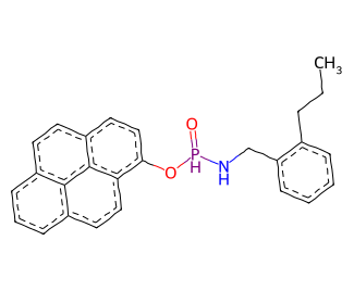 CCCc1ccccc1CN[PH](=O)Oc1ccc2ccc3cccc4ccc1c2c34